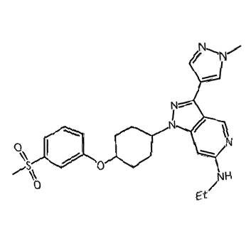 CCNc1cc2c(cn1)c(-c1cnn(C)c1)nn2C1CCC(Oc2cccc(S(C)(=O)=O)c2)CC1